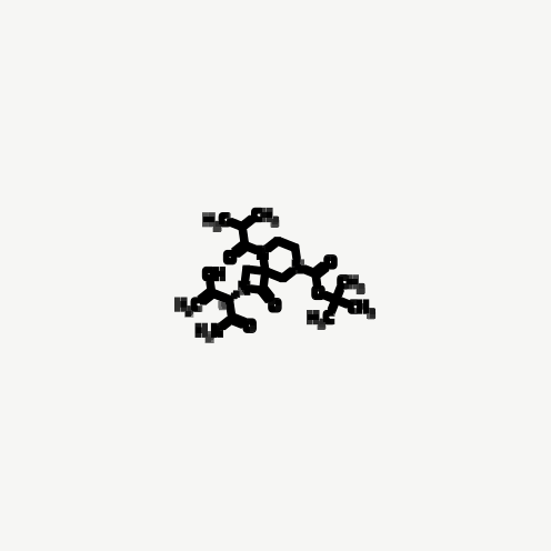 C=C(O)[C@@H](C(N)=O)N1CC2(CN(C(=O)OC(C)(C)C)CCN2C(=O)C(C)C)C1=O